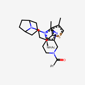 CC(=O)N[C@@H](CCN1C2CCC1CC(n1c(C)nc3c1CCN(C(=O)C(C)C)C3)C2)c1cc(C)cs1